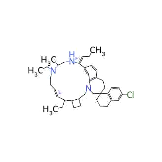 CC/C=C1/NCC(C)N(CC)CC/C=C/C(CC)C2CCC2CN2CC3(CCCc4cc(Cl)ccc43)CCc3ccc1cc32